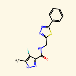 Cc1[nH]nc(C(=O)NCc2nnc(-c3ccccc3)s2)c1F